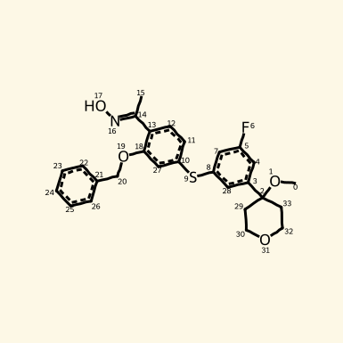 COC1(c2cc(F)cc(Sc3ccc(C(C)=NO)c(OCc4ccccc4)c3)c2)CCOCC1